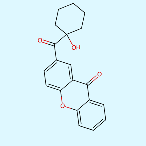 O=C(c1ccc2oc3ccccc3c(=O)c2c1)C1(O)CCCCC1